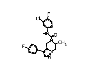 CC1Cn2ncc(-c3ccc(F)cc3)c2CN1C(=O)Nc1ccc(F)c(Cl)c1